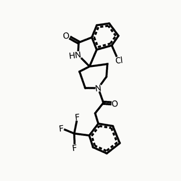 O=C1NC2(CCN(C(=O)Cc3ccccc3C(F)(F)F)CC2)c2c(Cl)cccc21